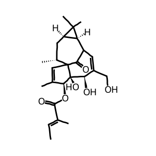 C/C=C(\C)C(=O)O[C@H]1C(C)=CC23C(=O)C(C=C(CO)[C@@H](O)[C@]12O)[C@H]1[C@@H](C[C@H]3C)C1(C)C